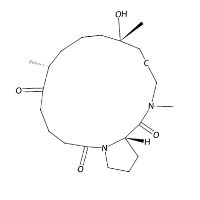 C[C@@H]1CCC[C@](C)(O)CCCN(C)C(=O)[C@@H]2CCCN2C(=O)CCCC1=O